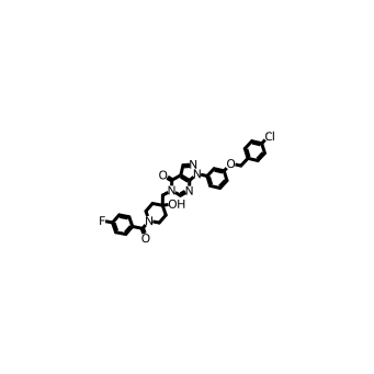 O=C(c1ccc(F)cc1)N1CCC(O)(Cn2cnc3c(cnn3-c3cccc(OCc4ccc(Cl)cc4)c3)c2=O)CC1